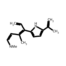 C=C/C(=C(C)\C=C/NC)c1ccc(C(=C)C)[nH]1